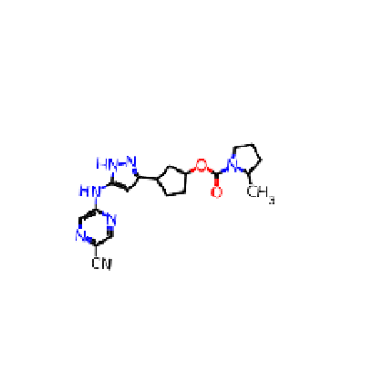 CC1CCCN1C(=O)OC1CCC(c2cc(Nc3cnc(C#N)cn3)[nH]n2)C1